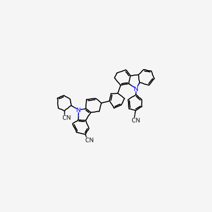 N#Cc1ccc(N2C3=C(C4C=C(C5C=Cc6c(c7cc(C#N)ccc7n6C6CC=CCC6C#N)C5)C=CC4)CCC=C3C3C=CC=CC32)cc1